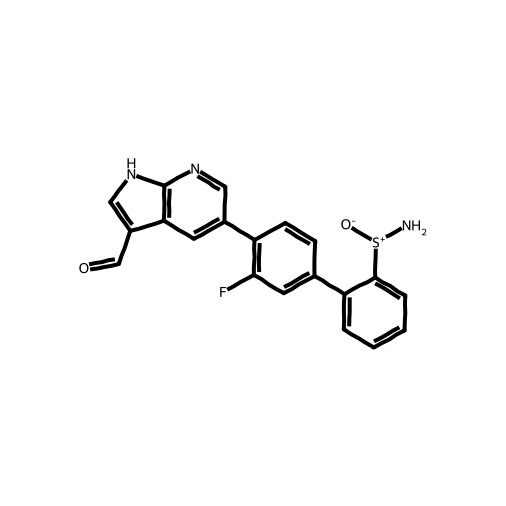 N[S+]([O-])c1ccccc1-c1ccc(-c2cnc3[nH]cc(C=O)c3c2)c(F)c1